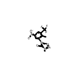 Cc1c(-n2nnn(C)c2=O)cc([N+](=O)[O-])cc1C(F)(F)F